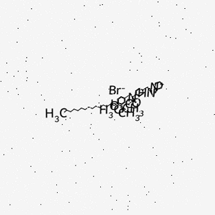 CCCCCCCCCCCCCCOc1ccc(CN(C(C)=O)c2ccc(Cc3[nH]cc4cccc[n+]34)cc2)cc1C(C)(C)C.[Br-]